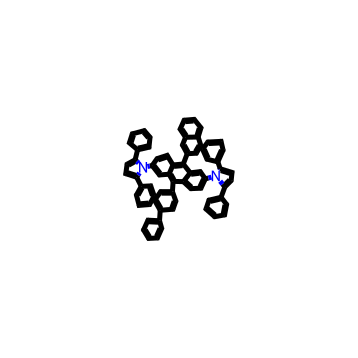 c1ccc(-c2ccc(-c3c4ccc(-n5c(-c6ccccc6)ccc5-c5ccccc5)cc4c(-c4ccc5ccccc5c4)c4ccc(-n5c(-c6ccccc6)ccc5-c5ccccc5)cc34)cc2)cc1